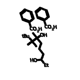 CCC(O)CCCC(C)(O)C(C)(C)C(C)(C)C.O=C(O)c1ccccc1.O=C(O)c1ccccc1